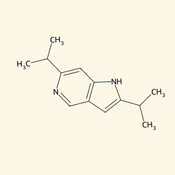 CC(C)c1cc2[nH]c(C(C)C)cc2cn1